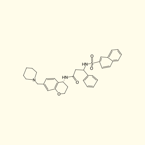 O=C(CC(NS(=O)(=O)c1ccc2ccccc2c1)c1ccccc1)N[C@@H]1CCOc2cc(CN3CCCCC3)ccc21